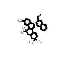 Cc1ccc2ccc3c(c2c1)C(C)(C)CC1=C3C=CC(C)(C)C1.O=Cc1ccc2ccccc2c1